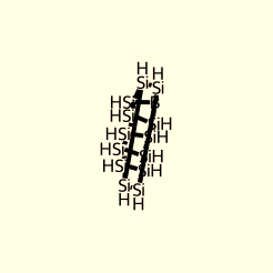 B12[SiH]3[SiH]4[SiH]1[SiH]1[SiH]4[SiH]4[SiH]1[SiH]1[SiH]5[SiH]2[SiH]3[SiH]5[SiH]14